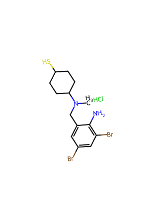 CN(Cc1cc(Br)cc(Br)c1N)C1CCC(S)CC1.Cl